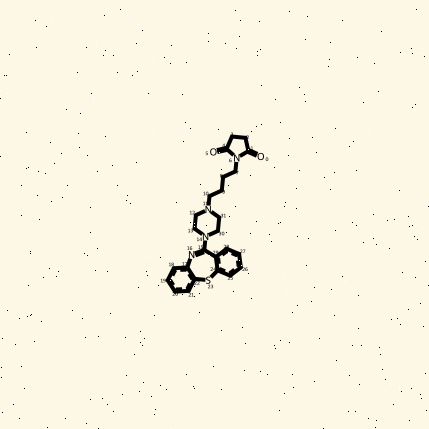 O=C1CCC(=O)N1CCCCN1CCN(C2=Nc3ccccc3Sc3ccccc32)CC1